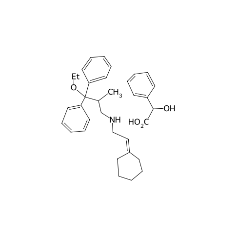 CCOC(c1ccccc1)(c1ccccc1)C(C)CNCC=C1CCCCC1.O=C(O)C(O)c1ccccc1